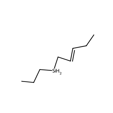 CCC=CC[SiH2]CCC